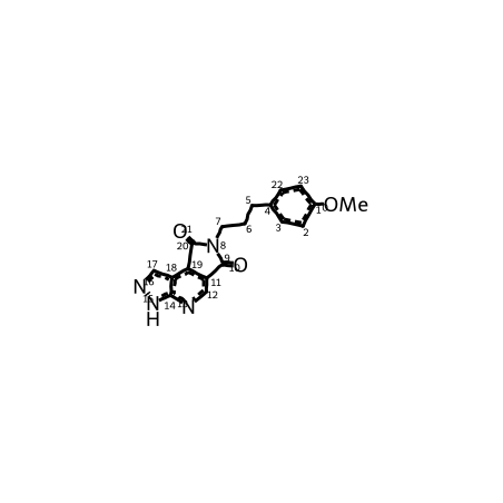 COc1ccc(CCCN2C(=O)c3cnc4[nH]ncc4c3C2=O)cc1